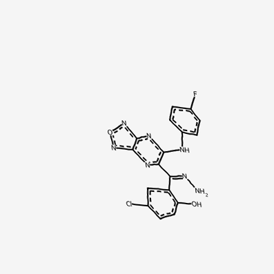 N/N=C(\c1cc(Cl)ccc1O)c1nc2nonc2nc1Nc1ccc(F)cc1